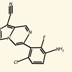 N#Cc1ncn2cc(-c3c(Cl)ccc(N)c3F)ncc12